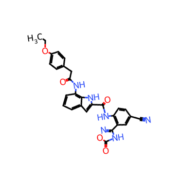 CCOc1ccc(CC(=O)Nc2cccc3cc(C(=O)Nc4ccc(C#N)cc4-c4noc(=O)[nH]4)[nH]c23)cc1